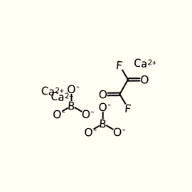 O=C(F)C(=O)F.[Ca+2].[Ca+2].[Ca+2].[O-]B([O-])[O-].[O-]B([O-])[O-]